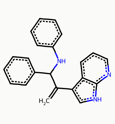 C=C(c1c[nH]c2ncccc12)C(Nc1ccccc1)c1ccccc1